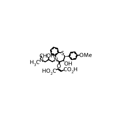 COc1ccc([C@@H]2Sc3ccccc3N(CC(O)CN(C)C)C(=O)[C@@H]2O)cc1.O=C(O)C=CC(=O)O